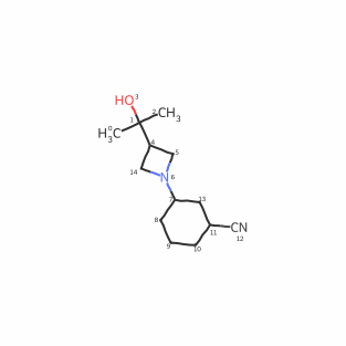 CC(C)(O)C1CN(C2CCCC(C#N)C2)C1